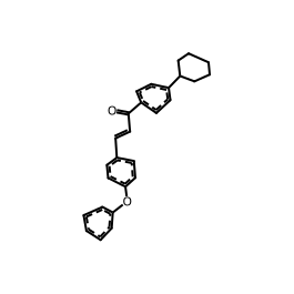 O=C(C=Cc1ccc(Oc2ccccc2)cc1)c1ccc(C2CCCCC2)cc1